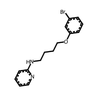 Brc1cccc(OCCCCNc2ccccn2)c1